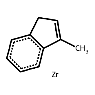 CC1=CCc2ccccc21.[Zr]